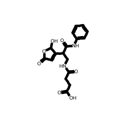 O=C(O)CCC(=O)NCC(C(=O)Nc1ccccc1)C1=CC(=O)OC1O